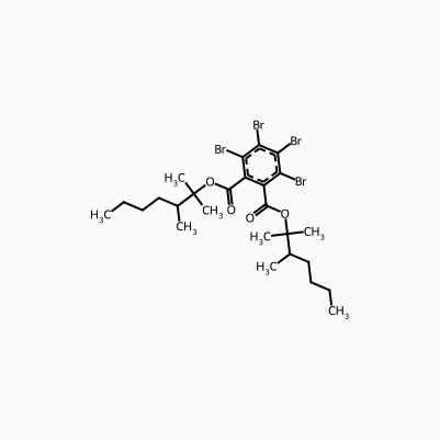 CCCCC(C)C(C)(C)OC(=O)c1c(Br)c(Br)c(Br)c(Br)c1C(=O)OC(C)(C)C(C)CCCC